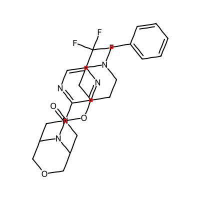 O=C(OC1CCN(Cc2ccccc2)CC1)N1C2COCC1CN(c1cnc(C(F)(F)F)cn1)C2